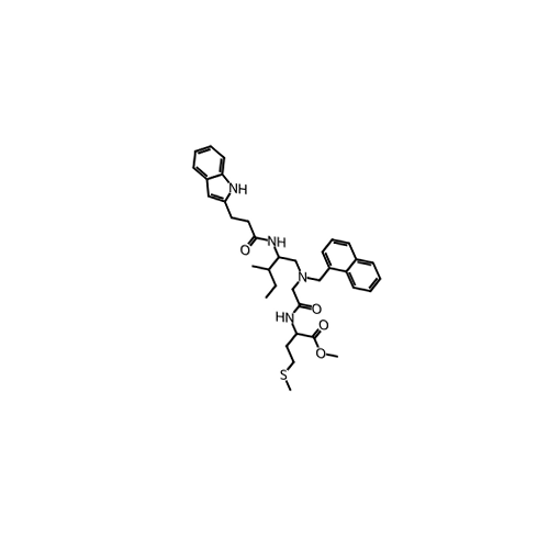 CCC(C)C(CN(CC(=O)NC(CCSC)C(=O)OC)Cc1cccc2ccccc12)NC(=O)CCc1cc2ccccc2[nH]1